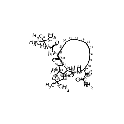 CC(C)(C)NC(=O)N[C@H]1CCCCCCCCCC[C@@H](C(=O)C(N)=O)NC(=O)[C@@H]2[C@H]3CC(C)(C)O[C@H]3CN2C1=O